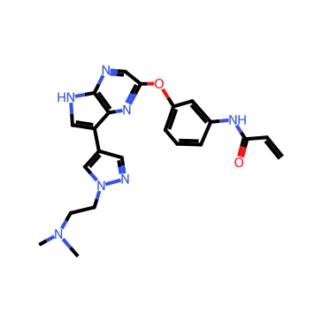 C=CC(=O)Nc1cccc(Oc2cnc3[nH]cc(-c4cnn(CCN(C)C)c4)c3n2)c1